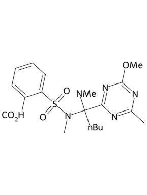 CCCCC(NC)(c1nc(C)nc(OC)n1)N(C)S(=O)(=O)c1ccccc1C(=O)O